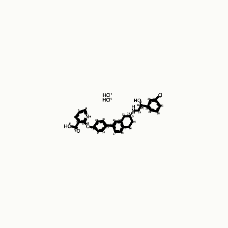 Cl.Cl.O=C(O)c1cccnc1Oc1ccc(-c2ccc3c(c2)C[C@@H](NC[C@@H](O)c2cccc(Cl)c2)CC3)cc1